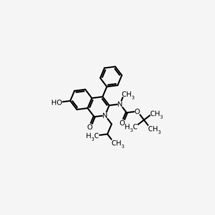 CC(C)Cn1c(N(C)C(=O)OC(C)(C)C)c(-c2ccccc2)c2ccc(O)cc2c1=O